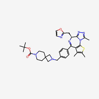 Cc1sc2c(c1C)C(c1ccc(CN3CC4(CCN(C(=O)OC(C)(C)C)CC4)C3)cc1)=N[C@@H](Cc1ncco1)c1nnc(C)n1-2